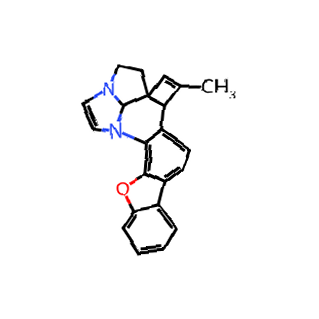 CC1=CC23CCN4C=CN(c5c(ccc6c5oc5ccccc56)C12)C43